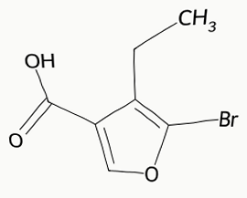 CCc1c(C(=O)O)coc1Br